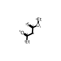 CCOC(=S)CC(=O)CC